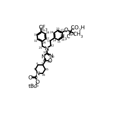 CC(C)(C)OC(=O)N1CCC(c2nc(N(CCc3ccc(OC(C)(C)C(=O)O)cc3)Cc3ccc(C(F)(F)F)cc3)no2)CC1